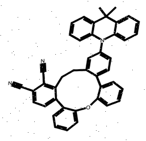 CC1(C)c2ccccc2N(c2ccc3c(c2)CCc2c(ccc(C#N)c2C#N)-c2ccccc2Oc2ccccc2-3)c2ccccc21